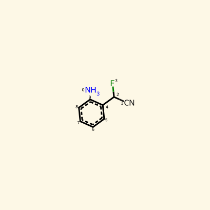 N.N#CC(F)c1ccccc1